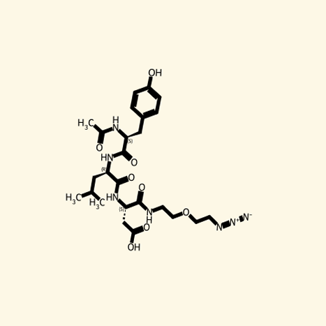 CC(=O)N[C@@H](Cc1ccc(O)cc1)C(=O)N[C@H](CC(C)C)C(=O)N[C@@H](CC(=O)O)C(=O)NCCOCCN=[N+]=[N-]